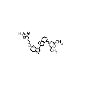 C[C@@H]1CN(c2nccc3oc(-c4cnc5ccc(OCCCS(C)(=O)=O)nn45)cc23)C[C@H](C)O1